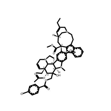 CCC1=C[C@@H]2CN(CCc3c([nH]c4ccccc34)[C@@](C(=O)OC)(c3cc4c(cc3OC)N(C)[C@H]3C(O)(COC(=O)c5ccc(Cl)cc5)[C@H](OC(C)=O)[C@]5(CC)C=CCN6CC[C@]43C65)C2)C1